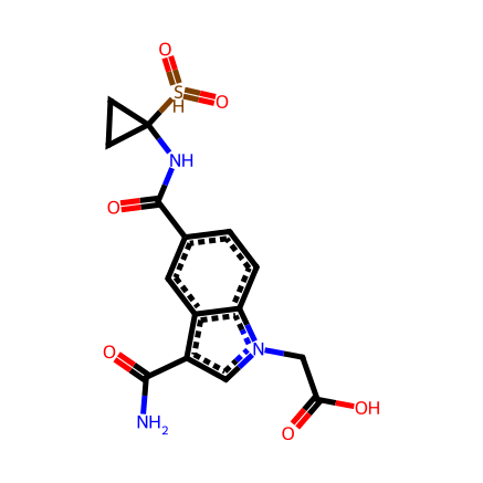 NC(=O)c1cn(CC(=O)O)c2ccc(C(=O)NC3([SH](=O)=O)CC3)cc12